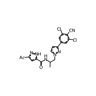 CC(=O)c1cc(C(=O)NC(C)Cn2ccc(-c3cc(Cl)c(C#N)c(Cl)c3)n2)[nH]n1